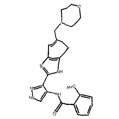 COc1ccccc1C(=O)Nc1c[nH]nc1-c1nc2c([nH]1)CCC(CN1CCOCC1)=C2